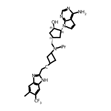 Cc1cc2nc(CCC3CC(N(C[C@@H]4C[C@@H](O)[C@H](n5ccc6c(N)ncnc65)C4)C(C)C)C3)[nH]c2cc1C(F)(F)F